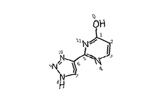 Oc1ccnc(-c2c[nH]nn2)n1